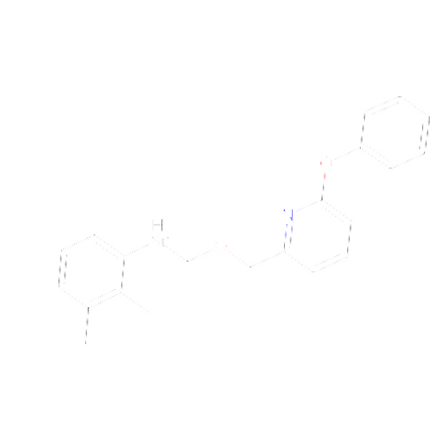 Cc1cccc([SiH2]COCc2cccc(Oc3ccccc3)n2)c1C